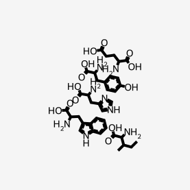 CCC(C)C(N)C(=O)O.NC(CCC(=O)O)C(=O)O.NC(Cc1c[nH]c2ccccc12)C(=O)O.NC(Cc1c[nH]cn1)C(=O)O.NC(Cc1ccc(O)cc1)C(=O)O